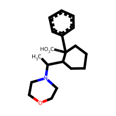 CC(C1CCCCC1(C(=O)O)c1ccccc1)N1CCOCC1